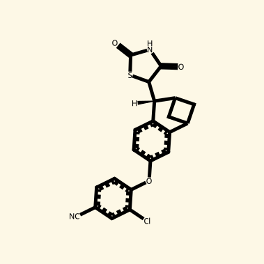 N#Cc1ccc(Oc2ccc3c(c2)C2CC(C2)[C@H]3C2SC(=O)NC2=O)c(Cl)c1